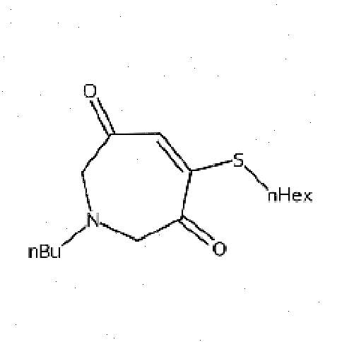 CCCCCCSC1=CC(=O)CN(CCCC)CC1=O